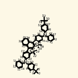 CC(C)(C)c1ccc(N(c2ccccc2)c2ccc3c(c2)[Si](C)(C)c2c4c(c5ccccc5c2-3)-c2ccc(N(c3ccccc3)c3ccc(C(C)(C)C)cc3)cc2[Si]4(C)C)cc1